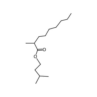 CCCCCCCC(C)C(=O)OCCC(C)C